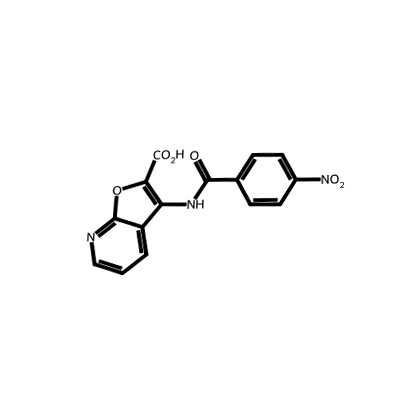 O=C(Nc1c(C(=O)O)oc2ncccc12)c1ccc([N+](=O)[O-])cc1